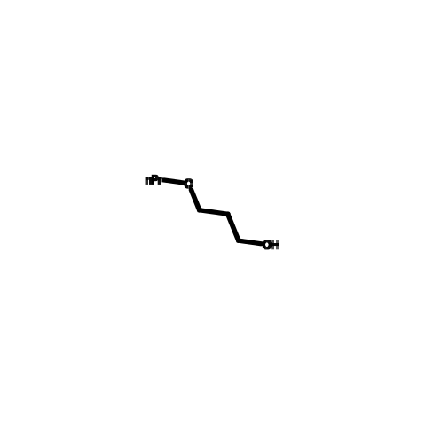 CCCOCCCO